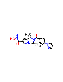 CC1Cn2cc(C(=O)NO)cc2C(C)N1C(=O)c1ccc(-n2cccn2)cc1